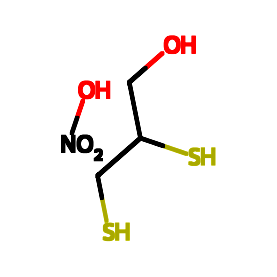 O=[N+]([O-])O.OCC(S)CS